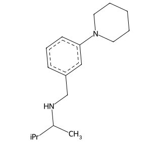 CC(C)C(C)NCc1cccc(N2CCCCC2)c1